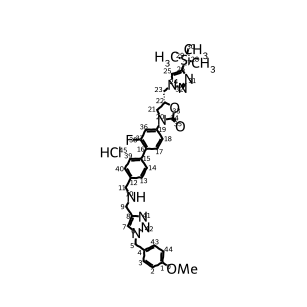 COc1ccc(Cn2cc(CNCc3ccc(-c4ccc(N5C[C@H](Cn6cc([Si](C)(C)C)nn6)OC5=O)cc4F)cc3)nn2)cc1.Cl